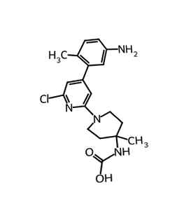 Cc1ccc(N)cc1-c1cc(Cl)nc(N2CCC(C)(NC(=O)O)CC2)c1